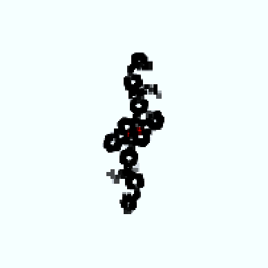 C=C(N1CCC(N2C3=CC=C(F)CC3([C@@]34CC(F)=CC=C3N(C3CCN(C(=C)C5(F)CCN(Cc6csnn6)CC5)CC3)C(c3ccccn3)=N4)N=C2c2ccccn2)CC1)C1(F)CCN(Cc2ccc[nH]2)CC1